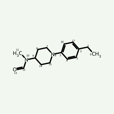 CCc1ccc(N2CCC(N(C)C=O)CC2)cc1